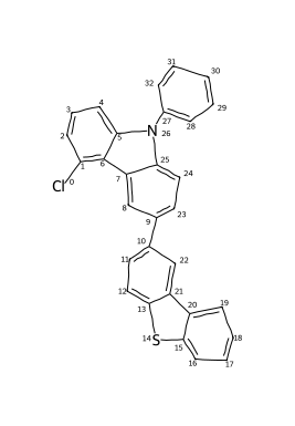 Clc1cccc2c1c1cc(-c3ccc4sc5ccccc5c4c3)ccc1n2-c1ccccc1